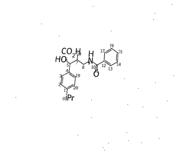 CC(C)c1ccc(C(O)C(CNC(=O)c2ccccc2)C(=O)O)cc1